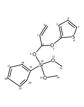 C=CC(Oc1cccs1)O[Si](OC)(OC)c1ccccc1